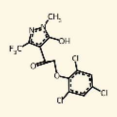 Cn1nc(C(F)(F)F)c(C(=O)COc2c(Cl)cc(Cl)cc2Cl)c1O